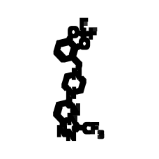 FC1(F)Oc2cccc(CN3CCN(c4ccc5nnc(C(F)(F)F)n5n4)CC3)c2O1